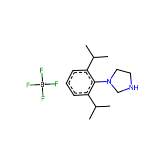 CC(C)c1cccc(C(C)C)c1N1CCNC1.F[B-](F)(F)F